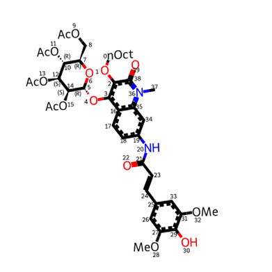 CCCCCCCCOc1c(O[C@H]2O[C@H](COC(C)=O)[C@@H](OC(C)=O)[C@H](OC(C)=O)[C@@H]2OC(C)=O)c2ccc(NC(=O)C=Cc3cc(OC)c(O)c(OC)c3)cc2n(C)c1=O